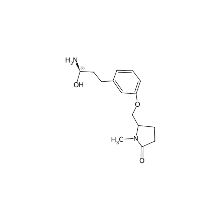 CN1C(=O)CCC1COc1cccc(CC[C@H](N)O)c1